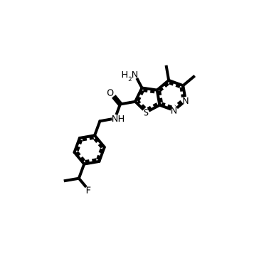 Cc1nnc2sc(C(=O)NCc3ccc(C(C)F)cc3)c(N)c2c1C